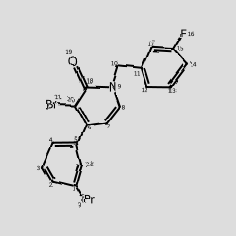 CC(C)c1cccc(-c2ccn(Cc3cccc(F)c3)c(=O)c2Br)c1